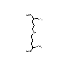 COC(C)CCCNCCCC(C)OC